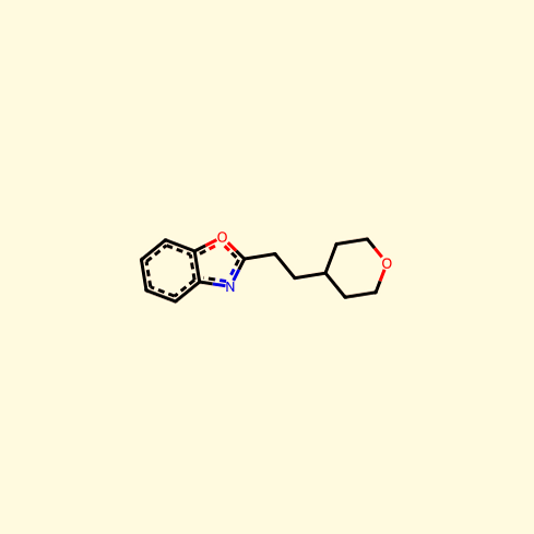 c1ccc2oc(CCC3CCOCC3)nc2c1